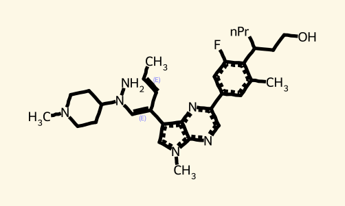 C/C=C/C(=C\N(N)C1CCN(C)CC1)c1cn(C)c2ncc(-c3cc(C)c(C(CCC)CCO)c(F)c3)nc12